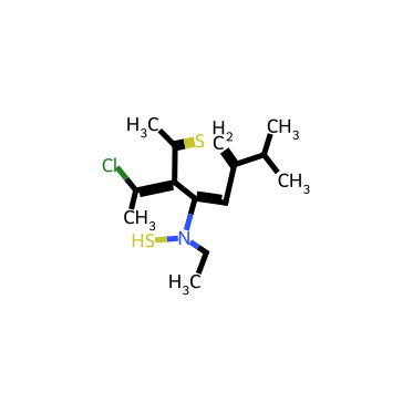 C=C(/C=C(\C(C(C)=S)=C(/C)Cl)N(S)CC)C(C)C